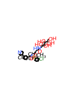 Cc1cnccc1-c1cccc(C(C)(C)N(CCCC(=O)NC[C@@H](O)[C@H](O)[C@@H](O)[C@@H](O)CO)S(=O)(=O)c2cccc(Cl)c2C)c1